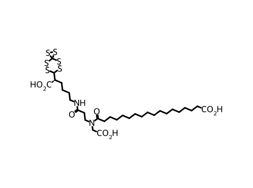 O=C(O)CCCCCCCCCCCCCCCCC(=O)N(CCC(=O)NCCCC[C@@H](C(=O)O)C1SSC2(SS1)SS2)CC(=O)O